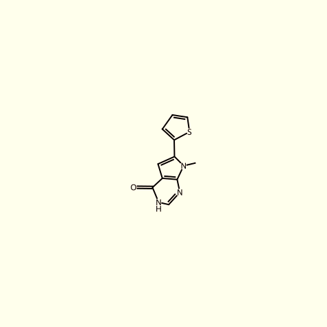 Cn1c(-c2cccs2)cc2c(=O)[nH]cnc21